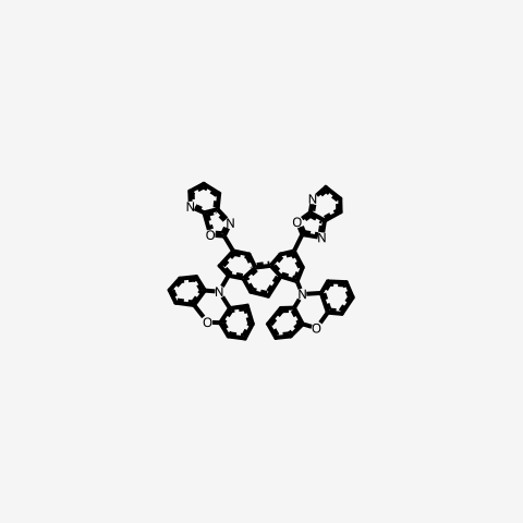 c1ccc2c(c1)Oc1ccccc1N2c1cc(-c2nc3cccnc3o2)cc2c1ccc1c(N3c4ccccc4Oc4ccccc43)cc(-c3nc4cccnc4o3)cc12